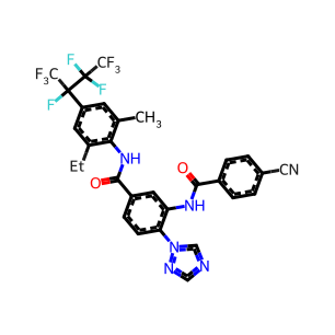 CCc1cc(C(F)(C(F)(F)F)C(F)(F)C(F)(F)F)cc(C)c1NC(=O)c1ccc(-n2cncn2)c(NC(=O)c2ccc(C#N)cc2)c1